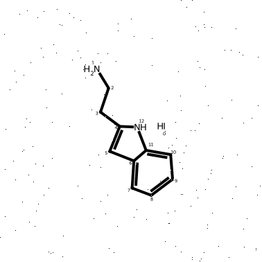 I.NCCc1cc2ccccc2[nH]1